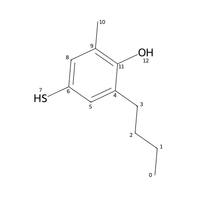 CCCCc1cc(S)cc(C)c1O